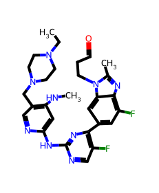 CCN1CCN(Cc2cnc(Nc3ncc(F)c(-c4cc(F)c5nc(C)n(CCC=O)c5c4)n3)cc2NC)CC1